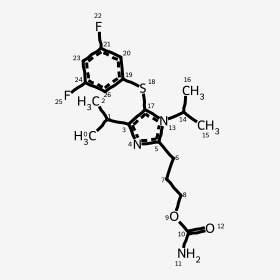 CC(C)c1nc(CCCOC(N)=O)n(C(C)C)c1Sc1cc(F)cc(F)c1